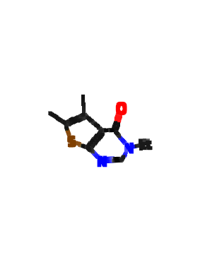 CCn1cnc2sc(C)c(C)c2c1=O